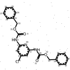 O=C(Nc1cc(Cl)cc(NC(=O)OCc2ccccc2)n1)OCc1ccccc1